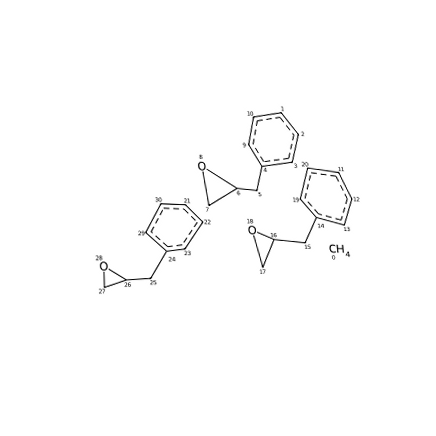 C.c1ccc(CC2CO2)cc1.c1ccc(CC2CO2)cc1.c1ccc(CC2CO2)cc1